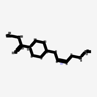 CCCCOC/C=C\CC1CCN(C(=O)OC(C)(C)C)CC1